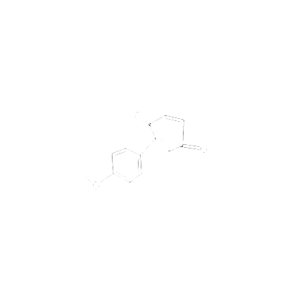 COc1ccc(C2=CC(=O)C=CC2=O)cc1